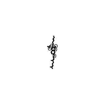 CC/C=C/CCOc1c(OC(C)C)c2ccc(OC/C=C(\C)CCC=C(C)C)cc2oc1=O